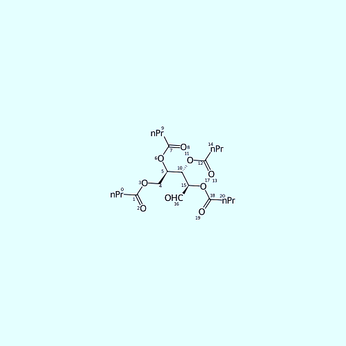 CCCC(=O)OC[C@@H](OC(=O)CCC)[C@H](OC(=O)CCC)[C@H](C=O)OC(=O)CCC